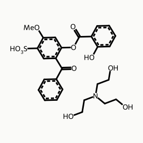 COc1cc(OC(=O)c2ccccc2O)c(C(=O)c2ccccc2)cc1S(=O)(=O)O.OCCN(CCO)CCO